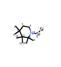 CC1(C)CCN([Si][Si])C(C)(C)C1(C)C